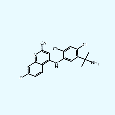 CC(C)(N)c1cc(Nc2cc(C#N)nc3cc(F)ccc23)c(Cl)cc1Cl